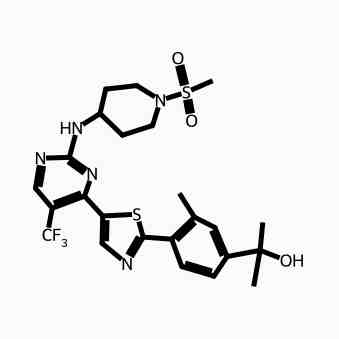 Cc1cc(C(C)(C)O)ccc1-c1ncc(-c2nc(NC3CCN(S(C)(=O)=O)CC3)ncc2C(F)(F)F)s1